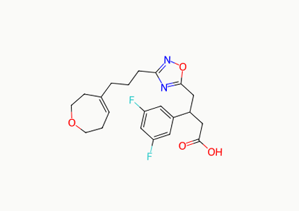 O=C(O)CC(Cc1nc(CCCC2=CCCOCC2)no1)c1cc(F)cc(F)c1